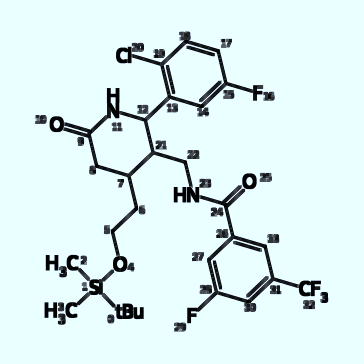 CC(C)(C)[Si](C)(C)OCCC1CC(=O)NC(c2cc(F)ccc2Cl)C1CNC(=O)c1cc(F)cc(C(F)(F)F)c1